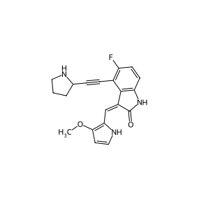 COc1cc[nH]c1C=C1C(=O)Nc2ccc(F)c(C#CC3CCCN3)c21